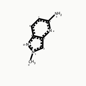 Cn1cc2nc(N)ccc2n1